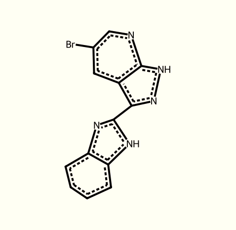 Brc1cnc2[nH]nc(-c3nc4ccccc4[nH]3)c2c1